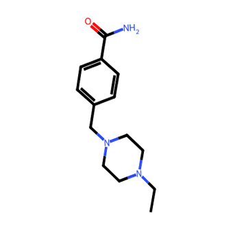 CCN1CCN(Cc2ccc(C(N)=O)cc2)CC1